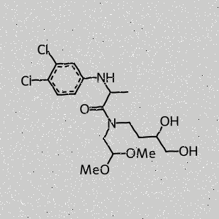 COC(CN(CCC(O)CO)C(=O)C(C)Nc1ccc(Cl)c(Cl)c1)OC